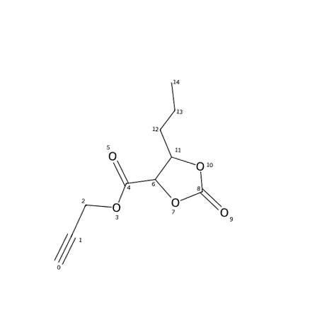 C#CCOC(=O)C1OC(=O)OC1CCC